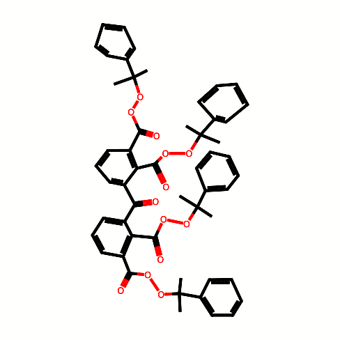 CC(C)(OOC(=O)c1cccc(C(=O)c2cccc(C(=O)OOC(C)(C)c3ccccc3)c2C(=O)OOC(C)(C)c2ccccc2)c1C(=O)OOC(C)(C)c1ccccc1)c1ccccc1